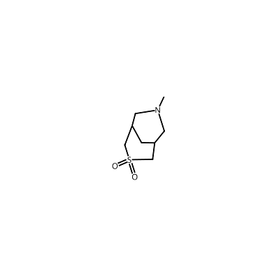 CN1CC2CC(C1)CS(=O)(=O)C2